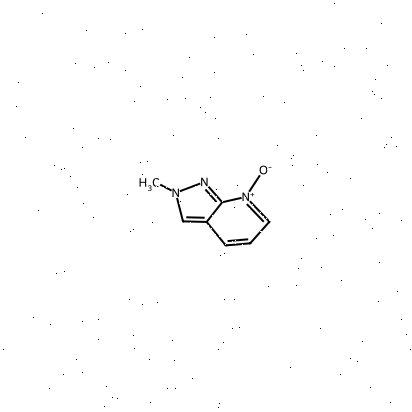 Cn1cc2ccc[n+]([O-])c2n1